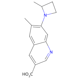 Cc1cc2cc(C(=O)O)cnc2cc1N1CCC1C